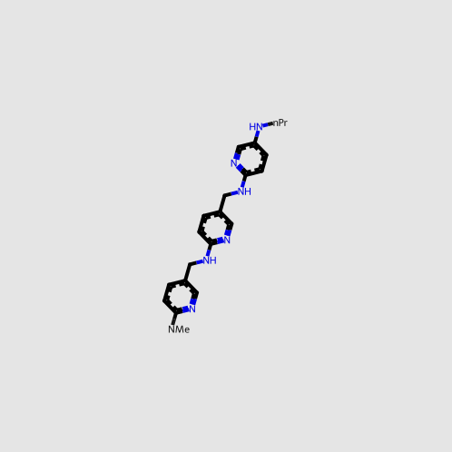 CCCNc1ccc(NCc2ccc(NCc3ccc(NC)nc3)nc2)nc1